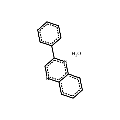 O.c1ccc(-c2cnc3ccccc3n2)cc1